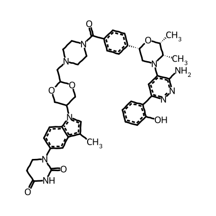 Cc1cn(C2COC(CN3CCN(C(=O)c4ccc([C@H]5CN(c6cc(-c7ccccc7O)nnc6N)[C@@H](C)[C@@H](C)O5)cc4)CC3)OC2)c2ccc(N3CCC(=O)NC3=O)cc12